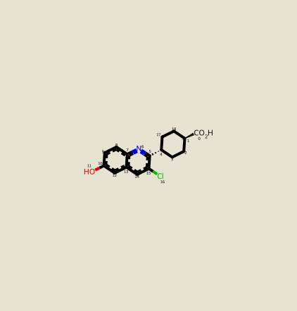 O=C(O)[C@H]1CC[C@H](c2nc3ccc(O)cc3cc2Cl)CC1